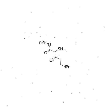 CCCOC(=O)C(S)C(=O)CCC(C)C